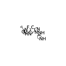 FC(F)(F)c1cnc(N[C@H]2CCCNC2)nc1-c1c[nH]c(-c2noc(C3CC3)n2)c1